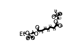 CCOS(=O)(=O)COC(=O)CCCCCC(=O)OCS(C)(=O)=O